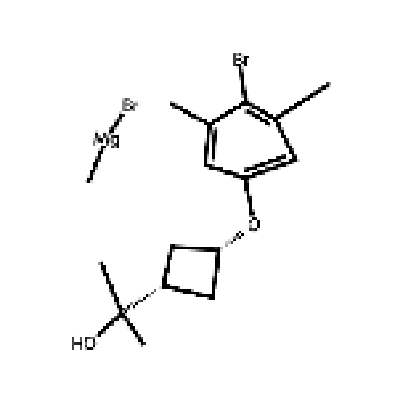 Cc1cc(O[C@H]2C[C@@H](C(C)(C)O)C2)cc(C)c1Br.[CH3][Mg][Br]